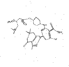 CC(=O)OC(CC(=O)OC1CCC(Nc2cc(-n3nc(C)c4c3CC(C)(C)CC4=O)cc(F)c2C(N)=O)CC1)CN(C)C